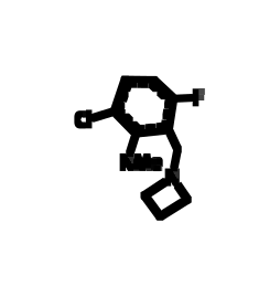 CNc1c(Cl)ccc(F)c1CN1CCC1